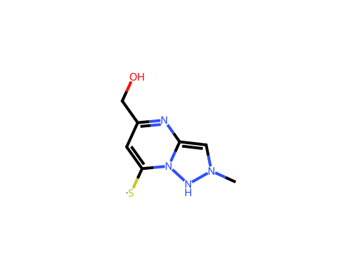 CN1C=C2N=C(CO)C=C([S])N2N1